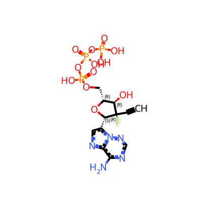 C#C[C@@]1(F)[C@H](O)[C@@H](COP(=O)(O)OP(=O)(O)OP(=O)(O)O)O[C@H]1c1cnc2c(N)ncnn12